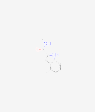 CNC(=O)c1cc2c(C)cccc2[nH]1